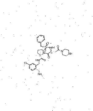 NCc1ccc(Cl)cc1CNC(=O)[C@@H]1CCCN1C(=O)[C@@H](CC(=O)N1CCNCC1)NS(=O)(=O)Cc1ccccc1